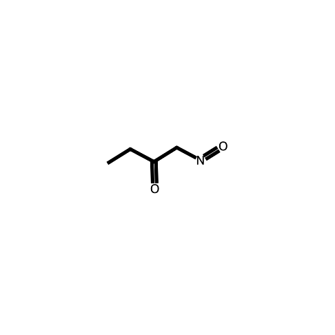 CCC(=O)CN=O